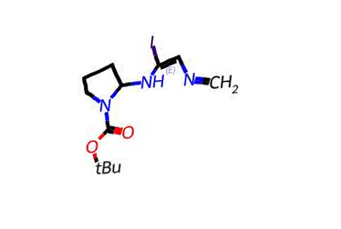 C=N/C=C(/I)NC1CCCN1C(=O)OC(C)(C)C